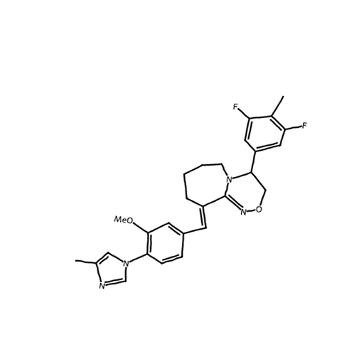 COc1cc(/C=C2\CCCCN3C2=NOCC3c2cc(F)c(C)c(F)c2)ccc1-n1cnc(C)c1